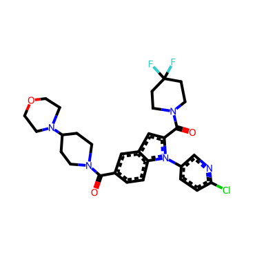 O=C(c1ccc2c(c1)cc(C(=O)N1CCC(F)(F)CC1)n2-c1ccc(Cl)nc1)N1CCC(N2CCOCC2)CC1